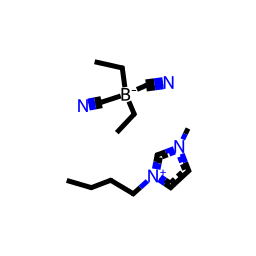 CCCC[n+]1ccn(C)c1.CC[B-](C#N)(C#N)CC